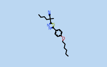 CCCCCCOc1ccc(-c2nnc(C(C)(C#N)CCCC)s2)cc1